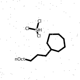 CCCCCCCCCCCC1CCCCCC1.Cl[SiH](Cl)Cl